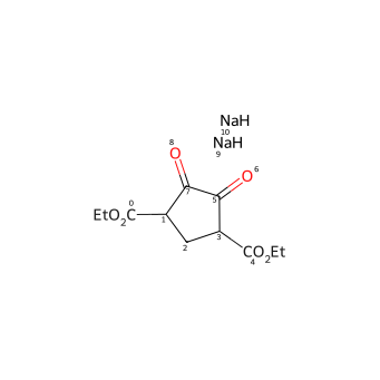 CCOC(=O)C1CC(C(=O)OCC)C(=O)C1=O.[NaH].[NaH]